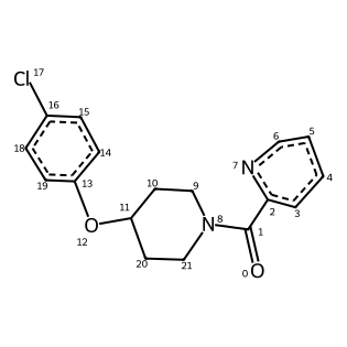 O=C(c1ccccn1)N1CCC(Oc2ccc(Cl)cc2)CC1